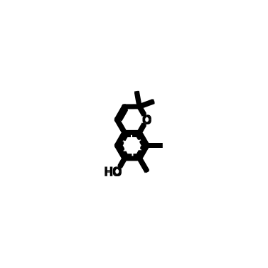 Cc1c(O)cc2c(c1C)OC(C)(C)C=C2